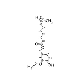 CCOc1cc(COC(=O)CCCCCCC(C)C)ccc1O